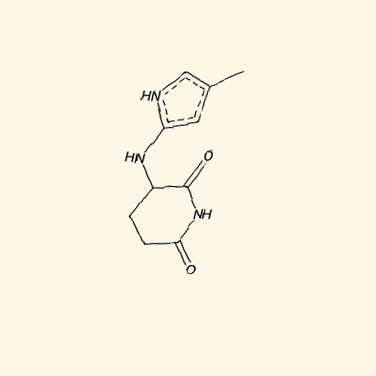 Cc1c[nH]c(NC2CCC(=O)NC2=O)c1